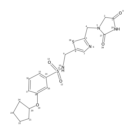 O=C1CN(Cc2ncc(CNS(=O)(=O)c3cccc(OC4CCCC4)c3)s2)C(=O)N1